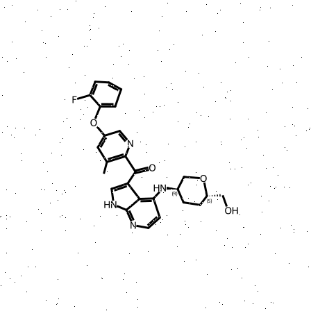 Cc1cc(Oc2ccccc2F)cnc1C(=O)c1c[nH]c2nccc(N[C@@H]3CC[C@@H](CO)OC3)c12